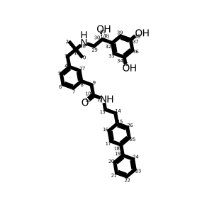 CC(C)(Cc1cccc(CC(=O)NCCc2ccc(-c3ccccc3)cc2)c1)NC[C@H](O)c1cc(O)cc(O)c1